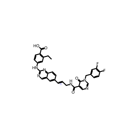 CCc1cc(Nc2ncc3cc(/C=C/CNC(=O)c4cncn(Cc5ccc(F)c(F)c5)c4=O)ccc3n2)ccc1C(=O)O